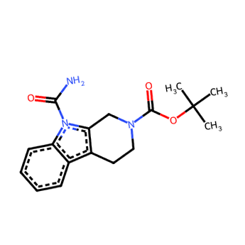 CC(C)(C)OC(=O)N1CCc2c(n(C(N)=O)c3ccccc23)C1